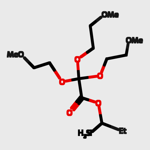 CCC([SiH3])OC(=O)C(OCCOC)(OCCOC)OCCOC